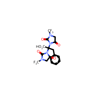 O=C1CN(C(F)(F)F)C(=O)N1C(Cc1ccccc1)(C(=O)O)N1C(=O)CN(C(F)(F)F)C1=O